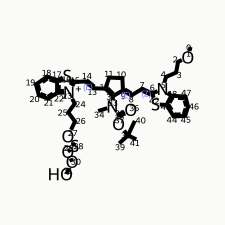 COCCCN1/C(=C/C=C2\CCC(/C=C/c3sc4ccccc4[n+]3CCCOSOOO)=C2N(C)C(=O)OC(C)(C)C)Sc2ccccc21